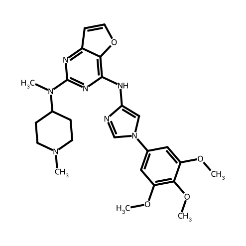 COc1cc(-n2cnc(Nc3nc(N(C)C4CCN(C)CC4)nc4ccoc34)c2)cc(OC)c1OC